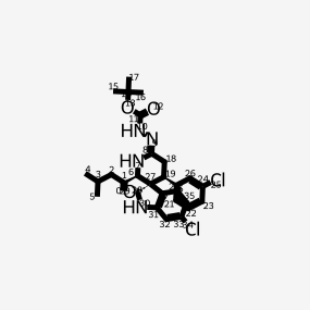 C=C(CC(C)C)[C@H]1N/C(=N\NC(=O)OC(C)(C)C)C[C@@H](c2cccc(Cl)c2)[C@]12C(=O)Nc1cc(Cl)ccc12